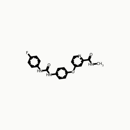 CNC(=O)c1cc(Oc2ccc(NC(=O)Nc3ccc(F)cc3)cc2)ccn1